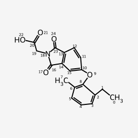 CCc1cccc(C)c1Oc1ccc2c(c1)C(=O)N(CC(=O)O)C2=O